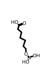 O=C(O)CCCCCCON(O)O